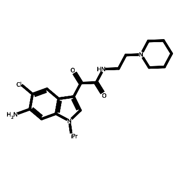 CC(C)n1cc(C(=O)C(=O)NCCN2CCCCC2)c2cc(Cl)c(N)cc21